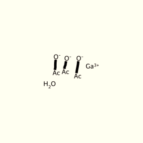 CC(=O)[O-].CC(=O)[O-].CC(=O)[O-].O.[Ga+3]